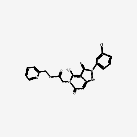 Cc1c2c(=O)n(-c3cccc(Cl)c3)[nH]c2cc(=O)n1CC(=O)NCc1ccccn1